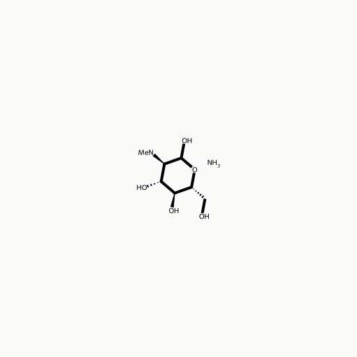 CN[C@H]1C(O)O[C@H](CO)[C@@H](O)[C@@H]1O.N